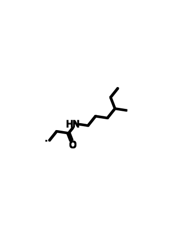 [CH2]CC(=O)NCCCC(C)CC